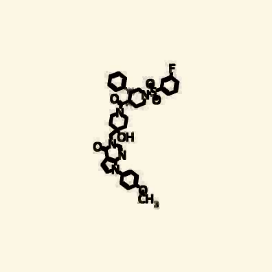 COc1ccc(-n2ccc3c(=O)n(CC4(O)CCN(C(=O)[C@@H]5CCN(S(=O)(=O)c6cccc(F)c6)C[C@H]5c5ccccc5)CC4)cnc32)cc1